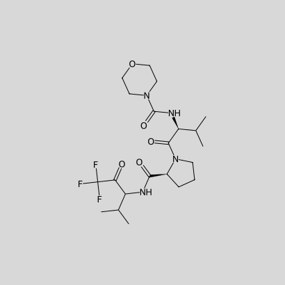 CC(C)C(NC(=O)[C@@H]1CCCN1C(=O)[C@@H](NC(=O)N1CCOCC1)C(C)C)C(=O)C(F)(F)F